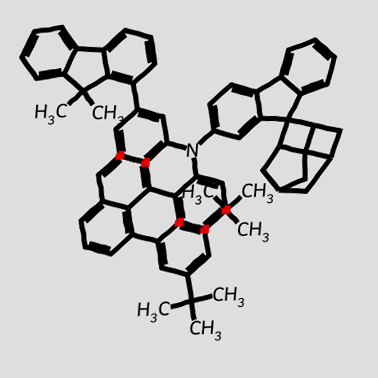 CC(C)(C)c1cc(-c2cccc3cccc(-c4ccccc4N(c4cccc(-c5cccc6c5C(C)(C)c5ccccc5-6)c4)c4ccc5c(c4)C4(c6ccccc6-5)C5CC6CC7CC4C75C6)c23)cc(C(C)(C)C)c1